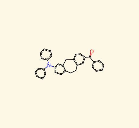 O=C(c1ccccc1)c1ccc2c(c1)CCc1ccc(N(c3ccccc3)c3ccccc3)cc1C2